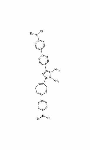 CCN(CC)c1ccc(C2=CCC=C(c3sc(-c4ccc(-c5ccc(N(CC)CC)cc5)cc4)c(N)c3N)C=C2)cc1